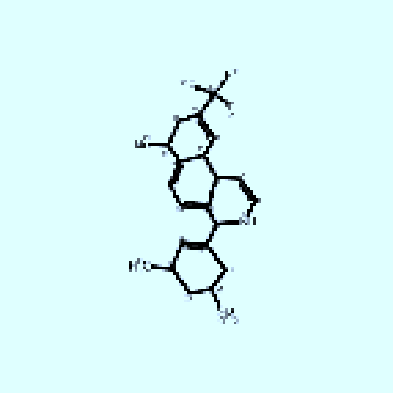 CC1C=C(C2NC=CC3C2=CC=C2C(Br)CC(C(F)(F)F)=CC23)CC(C)C1